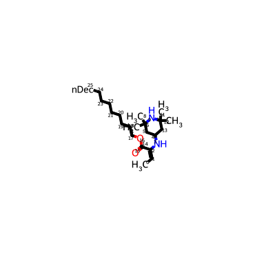 CC=C(NC1CC(C)(C)NC(C)(C)C1)C(=O)OCCCCCCCCCCCCCCCCCC